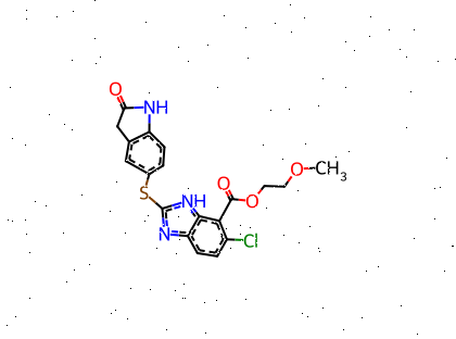 COCCOC(=O)c1c(Cl)ccc2nc(Sc3ccc4c(c3)CC(=O)N4)[nH]c12